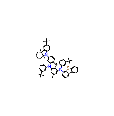 Cc1cc2c3c(c1)N(c1cccc4c1sc1ccccc14)c1cc(C(C)(C)C)ccc1B3c1ccc(N3c4ccc(C(C)(C)C)cc4C4(C)CCCCC34C)cc1N2c1cccc(C(C)(C)C)c1